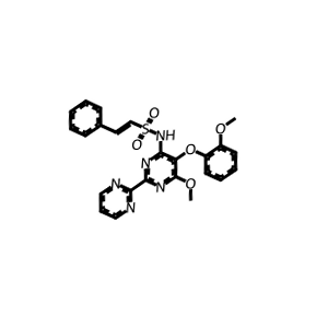 COc1ccccc1Oc1c(NS(=O)(=O)C=Cc2ccccc2)nc(-c2ncccn2)nc1OC